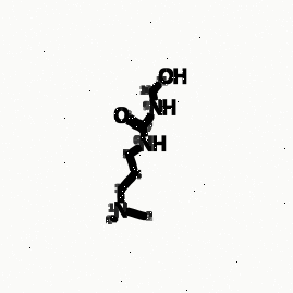 CN(C)CCCNC(=O)NCO